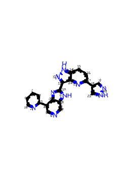 c1ccc(-c2cncc3[nH]c(-c4n[nH]c5ccc(-c6cn[nH]c6)nc45)nc23)nc1